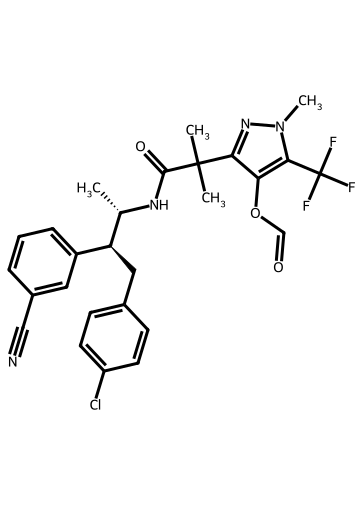 C[C@H](NC(=O)C(C)(C)c1nn(C)c(C(F)(F)F)c1OC=O)[C@@H](Cc1ccc(Cl)cc1)c1cccc(C#N)c1